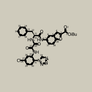 CC(C)COC(=O)c1cc2cc(NC(=O)[C@H](Cc3ccccc3)NC(=O)C(=O)Nc3cc(Cl)ccc3-n3cnnn3)ccc2o1